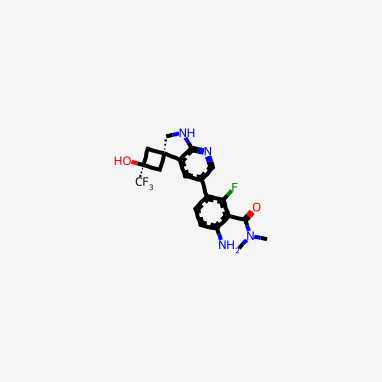 CN(C)C(=O)c1c(N)ccc(-c2cnc3c(c2)[C@]2(CN3)C[C@@](O)(C(F)(F)F)C2)c1F